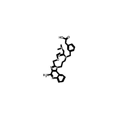 CCOCc1nc2c(N)nc3ccccc3c2n1CCCN(Cc1cccc(CC(=O)O)c1)C(=O)CN(C)C